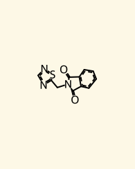 O=C1c2ccccc2C(=O)N1Cc1ncns1